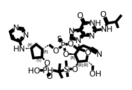 CC(C)C(=O)Nc1nc2c(ncn2[C@@H]2O[C@H](CO)[C@@H](O[Si](C)(C)C(C)(C)C)[C@H]2OP(=S)(OCCC#N)OC[C@H]2C[C@@H](Nc3ccncn3)C[C@@H]2O[PH](=O)O)c(=O)[nH]1